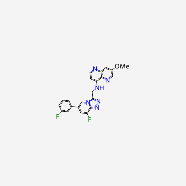 COc1cnc2c(NCc3nnc4c(F)cc(-c5cccc(F)c5)cn34)ccnc2c1